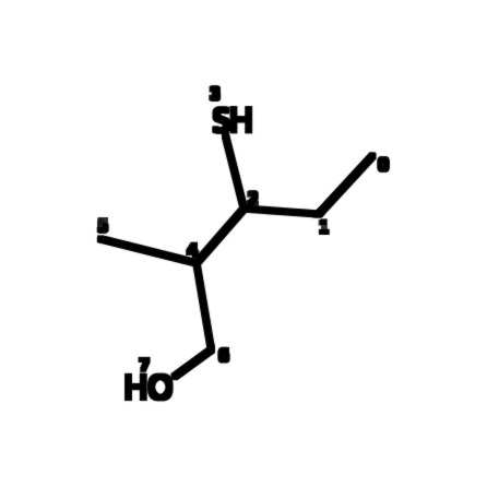 CCC(S)C(C)CO